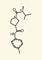 Cc1ccc(NC(=O)C2CCN(C(=O)[C@@H](C)C(C)C)C2)cc1